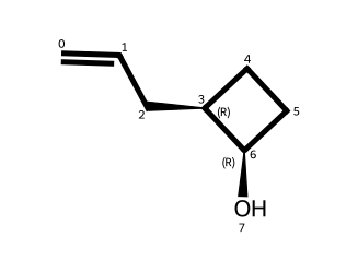 C=CC[C@H]1CC[C@H]1O